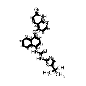 CC(C)(C)c1cnc(NC(=O)Nc2ccc(Oc3ccnc4[nH]c(=O)cnc34)c3ccccc23)s1